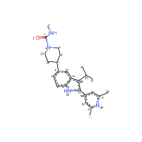 CNC(=O)N1CCC(c2ccc3[nH]c(-c4cc(C)nc(C)c4)c(C(C)C)c3c2)CC1